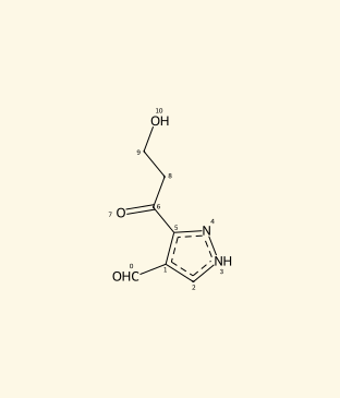 O=Cc1c[nH]nc1C(=O)CCO